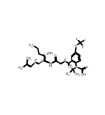 CCC[C@H](O)[C@H](CNCC(C)C)NC(=O)CNC(=O)c1cc(OC(F)(F)F)ccc1N(C(=O)O)C(C)(C)C